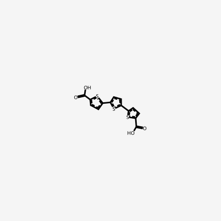 O=C(O)c1ccc(-c2ccc(-c3ccc(C(=O)O)s3)s2)s1